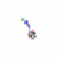 [2H]C1C([2H])[C@@H]2C[C@H]1[C@@H]1C(=O)N(CCCCN3CCN(c4ncc(Br)cn4)CC3)C(=O)[C@@H]12